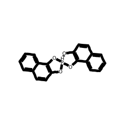 c1ccc2c3c(ccc2c1)O[PH]1(Oc2ccc4ccccc4c2O1)O3